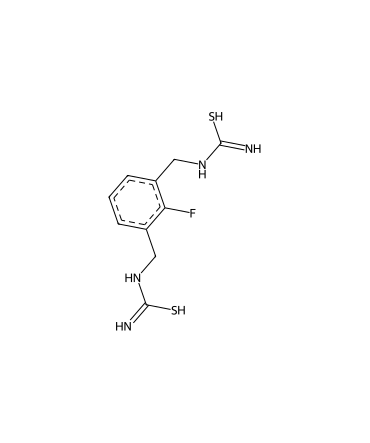 N=C(S)NCc1cccc(CNC(=N)S)c1F